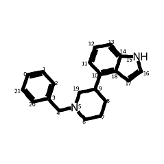 c1ccc(CN2CCCC(c3cccc4[nH]ccc34)C2)cc1